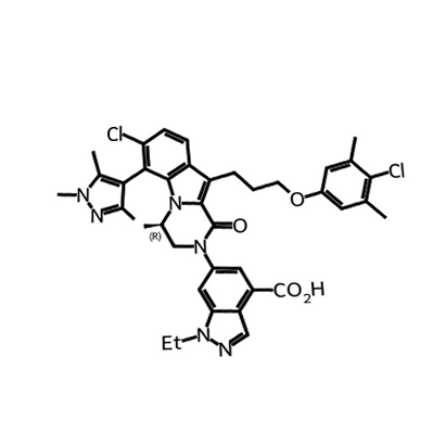 CCn1ncc2c(C(=O)O)cc(N3C[C@@H](C)n4c(c(CCCOc5cc(C)c(Cl)c(C)c5)c5ccc(Cl)c(-c6c(C)nn(C)c6C)c54)C3=O)cc21